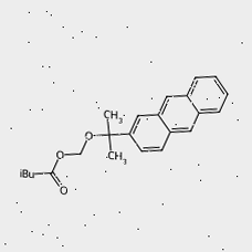 CCC(C)C(=O)OCOC(C)(C)c1ccc2cc3ccccc3cc2c1